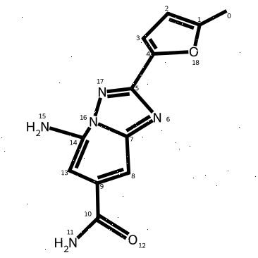 Cc1ccc(-c2nc3cc(C(N)=O)cc(N)n3n2)o1